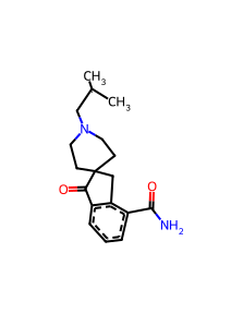 C[C](C)CN1CCC2(CC1)Cc1c(C(N)=O)cccc1C2=O